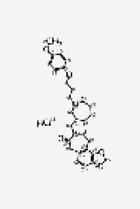 COc1ccc(OCCCN2CCCCC(CN3CCc4c(ccc5c4OCO5)CC3=O)C2)cc1.Cl